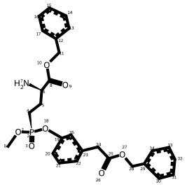 CO[P@](=O)(CC[C@@H](N)C(=O)OCc1ccccc1)Oc1cccc(CC(=O)OCc2ccccc2)c1